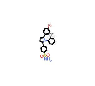 NS(=O)(=O)c1ccc(-c2ccc(-c3ccc(Br)cc3)n2-c2ccccc2C(F)(F)F)cc1